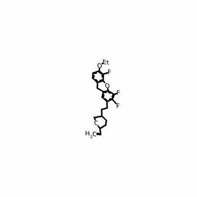 C=CC1CCC(CCc2cc3c(c(F)c2F)Oc2c(ccc(OCC)c2F)C3)CC1